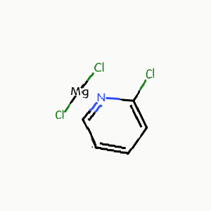 Clc1cc[c]cn1.[Cl][Mg][Cl]